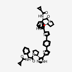 O=C(N[C@H](C(=O)N1CCC[C@H]1c1nc[nH]c1-c1ccc(-c2ccc(-c3ccc(-c4[nH]cnc4[C@@H]4CCCN4C(=O)[C@@H](NC(=O)C4CC4)c4ccccc4)s3)cc2)s1)c1ccccc1)C1CC1